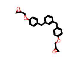 c1cc(Cc2ccc(OCC3CO3)cc2)cc(Cc2ccc(OCC3CO3)cc2)c1